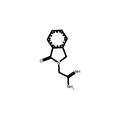 N=C(N)CN1Cc2ccccc2C1=O